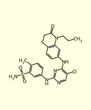 CCCN1C(=O)CSc2ccc(Nc3nc(Nc4ccc(C)c(S(N)(=O)=O)c4)ncc3Cl)cc21